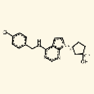 C[C@@]1(O)CC[C@@H](n2ccc3c(NCc4ccc(Cl)cc4)ncnc32)C1